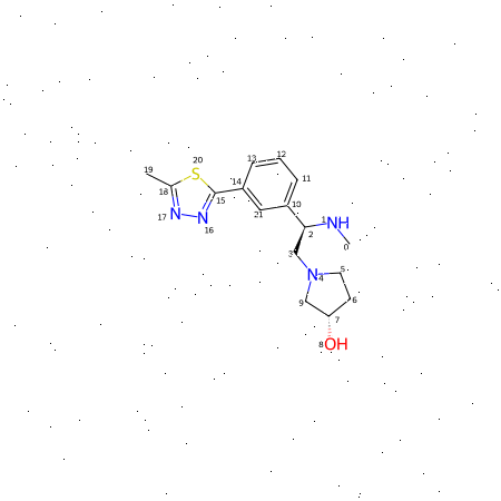 CN[C@@H](CN1CC[C@H](O)C1)c1cccc(-c2nnc(C)s2)c1